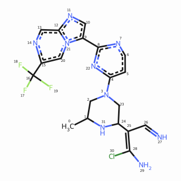 CC1CN(c2ccnc(-c3cnc4cnc(C(F)(F)F)cn34)n2)CC(/C(C=N)=C(/N)Cl)N1